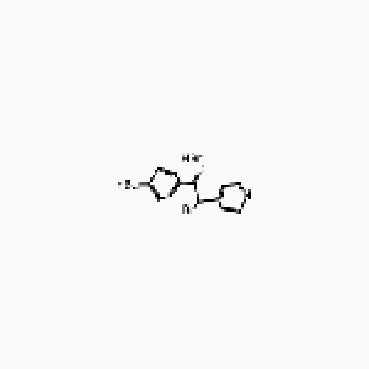 Br.CCCCc1ccc(C(=O)C(Br)c2ccncc2)cc1